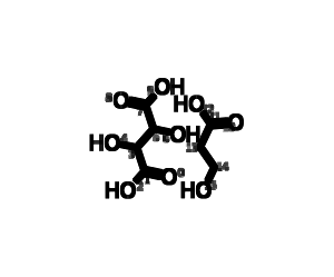 O=C(O)C(O)C(O)C(=O)O.O=C(O)CCO